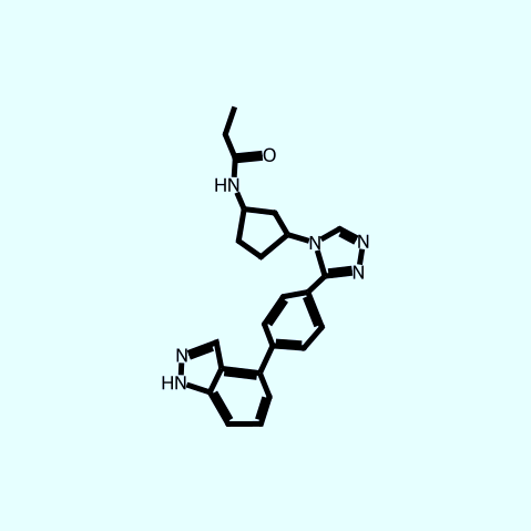 CCC(=O)NC1CCC(n2cnnc2-c2ccc(-c3cccc4[nH]ncc34)cc2)C1